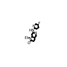 CCn1c(=O)ccc2cnc(Nc3ccc(F)cn3)cc21